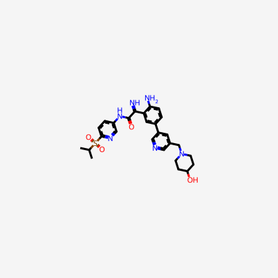 CC(C)S(=O)(=O)c1ccc(NC(=O)C(=N)c2cc(-c3cncc(CN4CCC(O)CC4)c3)ccc2N)cn1